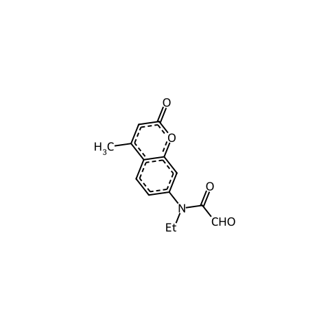 CCN(C(=O)C=O)c1ccc2c(C)cc(=O)oc2c1